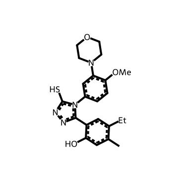 CCc1cc(-c2nnc(S)n2-c2ccc(OC)c(N3CCOCC3)c2)c(O)cc1C